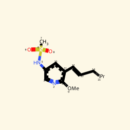 COc1ncc(NS(C)(=O)=O)cc1/C=C/CC(C)C